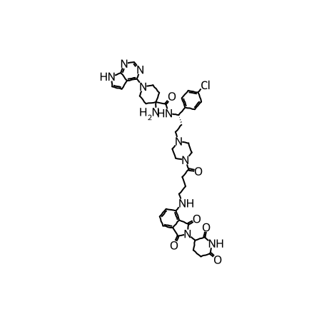 NC1(C(=O)N[C@@H](CCN2CCN(C(=O)CCCNc3cccc4c3C(=O)N(C3CCC(=O)NC3=O)C4=O)CC2)c2ccc(Cl)cc2)CCN(c2ncnc3[nH]ccc23)CC1